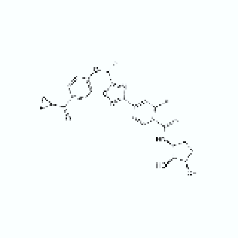 C[C@@H](Oc1ccc(C(=O)C2CC2)cc1)c1nc(-c2ccc(C(=O)N[C@H]3CC[C@@H](O)[C@H]3O)c(F)c2)no1